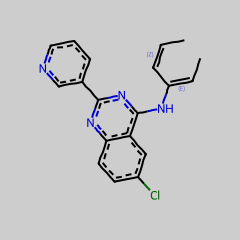 C/C=C\C(=C/C)Nc1nc(-c2cccnc2)nc2ccc(Cl)cc12